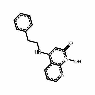 O=c1cc(NCCc2ccccc2)c2cccnc2n1O